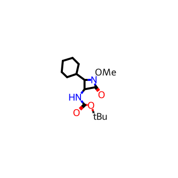 CON1C(=O)C(NC(=O)OC(C)(C)C)C1C1CCCCC1